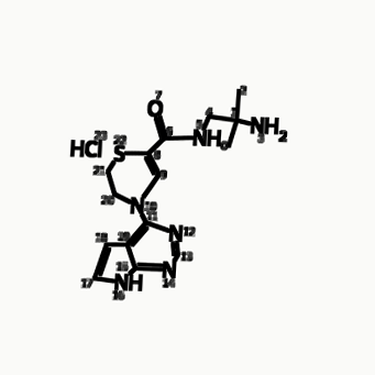 CC(C)(N)CNC(=O)C1=CN(c2ncnc3[nH]ccc23)CCS1.Cl